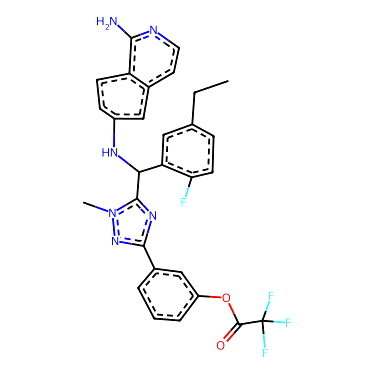 CCc1ccc(F)c(C(Nc2ccc3c(N)nccc3c2)c2nc(-c3cccc(OC(=O)C(F)(F)F)c3)nn2C)c1